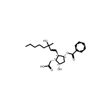 CCCCCC(C)(O)C=C[C@@H]1[C@@H](CC(=O)O)[C@@H](O)C[C@H]1OC(=O)c1ccccc1